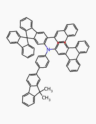 CC1(C)c2ccccc2-c2ccc(-c3ccc(N(c4ccc5c6ccccc6c6ccccc6c5c4)c4cc5c(cc4-c4ccc6ccccc6c4)-c4ccccc4C54c5ccccc5-c5ccccc54)cc3)cc21